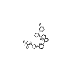 CN(C(=O)C(C)(C)F)[C@@H]1CCN(c2cccc(-c3cnc4ccc(N5CCC[C@@H]5c5cccc(F)c5)nn34)n2)C1